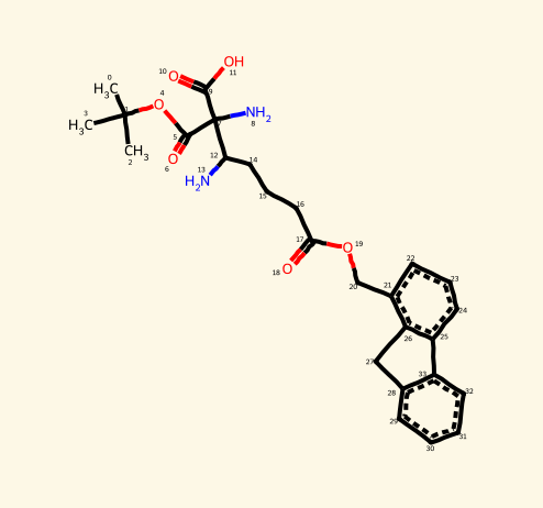 CC(C)(C)OC(=O)C(N)(C(=O)O)C(N)CCCC(=O)OCc1cccc2c1Cc1ccccc1-2